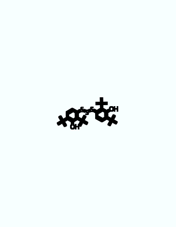 CC(C)(C)c1ccc(SSSc2ccc(C(C)(C)C)c(O)c2C(C)(C)C)c(C(C)(C)C)c1O